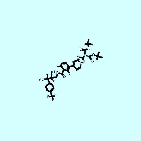 Cc1ccc(-c2ccn3nc(N(C(=O)OC(C)(C)C)C(=O)OC(C)(C)C)nc3c2)c(F)c1C(=O)NCC(F)(F)C(C)(O)c1ccc(C(F)(F)F)cc1